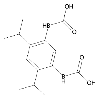 CC(C)c1cc(C(C)C)c(BC(=O)O)cc1BC(=O)O